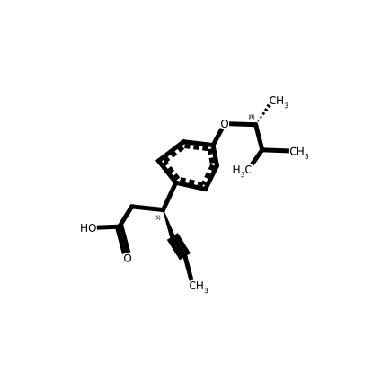 CC#C[C@@H](CC(=O)O)c1ccc(O[C@H](C)C(C)C)cc1